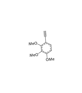 C#Cc1ccc(OC)c(OC)c1OC